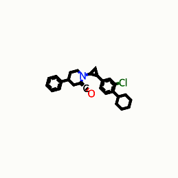 O=C=C1CC(c2ccccc2)CCN1C1CC1c1ccc(C2CCCCC2)c(Cl)c1